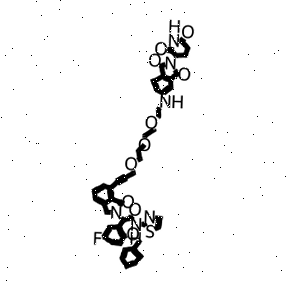 O=C1CCC(N2C(=O)c3ccc(NCCOCCOCCOCC#Cc4cccc5c4C(=O)N(C(C(=O)Nc4nccs4)c4cc(F)ccc4OCc4ccccc4)C5)cc3C2=O)C(=O)N1